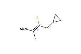 CN/C(C)=C(\F)CC1CC1